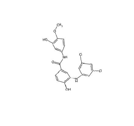 COc1ccc(NC(=O)c2ccc(O)c(Nc3cc(Cl)cc(Cl)c3)c2)cc1O